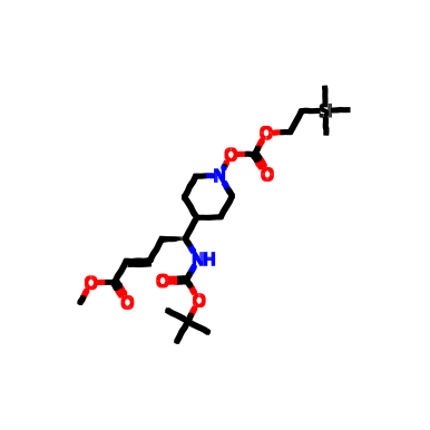 COC(=O)C=CC[C@H](NC(=O)OC(C)(C)C)C1CCN(OC(=O)OCC[Si](C)(C)C)CC1